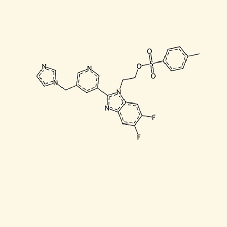 Cc1ccc(S(=O)(=O)OCCn2c(-c3cncc(Cn4ccnc4)c3)nc3cc(F)c(F)cc32)cc1